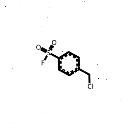 O=S(=O)(F)c1ccc(CCl)cc1